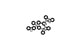 C1=CC2N=C3N(c4cc(-c5cccc([Si](c6ccccc6)(c6ccccc6)c6ccc7oc8ccccc8c7c6)c5)cc(-n5c6ccccc6n6c7ccccc7nc56)n4)c4ccccc4N3C2C=C1